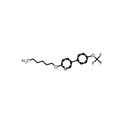 CCCCCCOc1ccc(-c2ccc(OC(F)(F)F)cc2)cn1